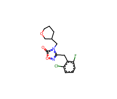 O=c1onc(Cc2c(F)cccc2Cl)n1CC1CCCOC1